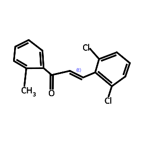 Cc1ccccc1C(=O)/C=C/c1c(Cl)cccc1Cl